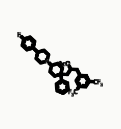 CC(=O)OC(Cc1cc(C(F)(F)F)cc(C(F)(F)F)c1)CC1(c2ccccc2)CCC(N2CCC(c3ccc(F)cc3)CC2)CC1